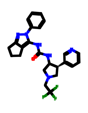 O=C(Nc1c2c(nn1-c1ccccc1)CCC2)NC1CN(CC(F)(F)F)C[C@H]1c1cccnc1